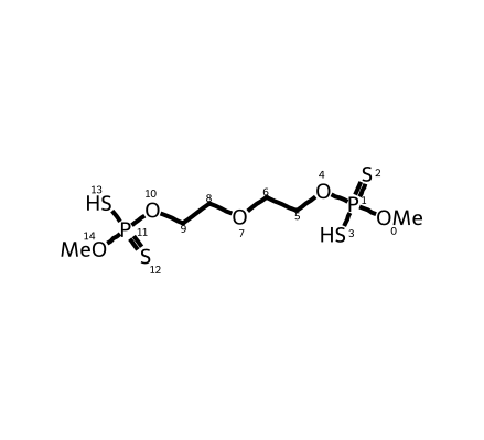 COP(=S)(S)OCCOCCOP(=S)(S)OC